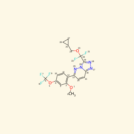 COc1cc(OC(F)(F)F)ccc1-c1ccc2nnc(C(F)(F)OCC3CC3)n2n1